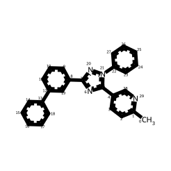 Cc1ccc(-c2nc(-c3cccc(-c4ccccc4)c3)nn2-c2ccccc2)cn1